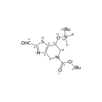 CC(C)(C)OC(=O)N1Cc2nc(C=O)sc2C(O[Si](C)(C)C(C)(C)C)C1